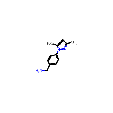 Cc1cc(C(F)(F)F)n(-c2ccc(CN)cc2)n1